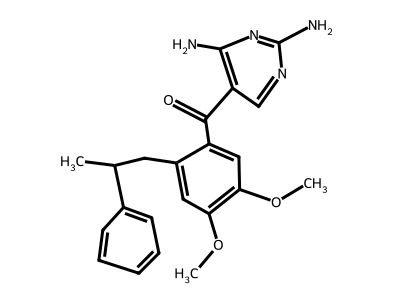 COc1cc(CC(C)c2ccccc2)c(C(=O)c2cnc(N)nc2N)cc1OC